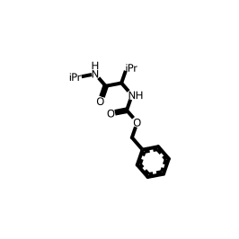 CC(C)NC(=O)C(NC(=O)OCc1ccccc1)C(C)C